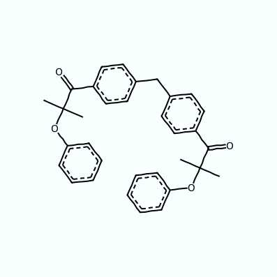 CC(C)(Oc1ccccc1)C(=O)c1ccc(Cc2ccc(C(=O)C(C)(C)Oc3ccccc3)cc2)cc1